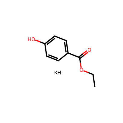 CCOC(=O)c1ccc(O)cc1.[KH]